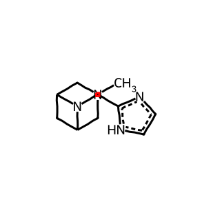 CN1CC2CC(C1)N2Cc1ncc[nH]1